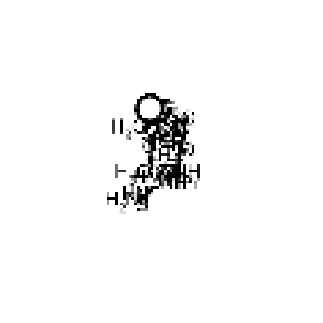 C=CCC(C)NC(=O)[C@H](CCCNC(N)=O)NC(=O)[C@@H](NC(=O)CCC(=O)N1CCN2C(=O)C3SC4C5CCCCCCCC6CC6C6C4C4(SC7C(=O)N(CC1)C(=O)C7SC64CC)C5(C)SC3C2=O)C(C)C